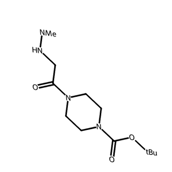 CNNCC(=O)N1CCN(C(=O)OC(C)(C)C)CC1